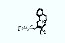 CCOC(=O)CC1=C(CC)CN2CCc3ccccc3C2C1